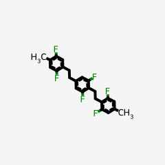 Cc1cc(F)c(CCc2c(F)cc(CCc3cc(F)c(C)cc3F)cc2F)c(F)c1